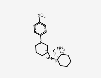 C[C@]1(N[C@@H]2CCCC[C@H]2N)CCCN(c2ccc([N+](=O)[O-])cc2)C1